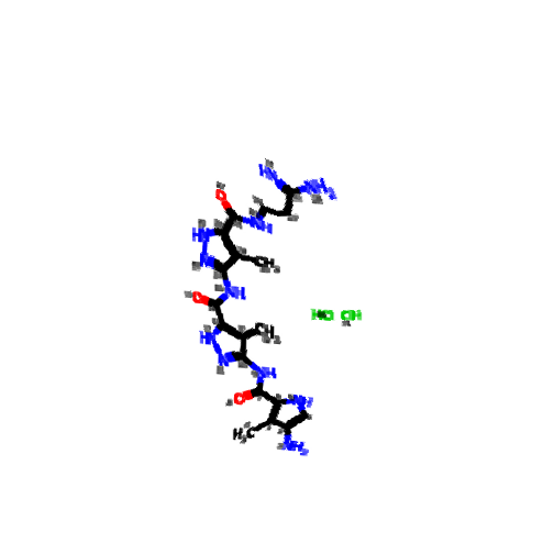 Cc1c(N)c[nH]c1C(=O)Nc1n[nH]c(C(=O)Nc2n[nH]c(C(=O)NCCC(=N)N)c2C)c1C.Cl.Cl